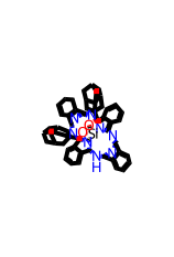 C1=CC2=C(CC1)/C1=N/c3c4ccccc4c4n3[Si](OCC35CC6CC(CC(C6)C3)C5)(OCC35CC6CC(CC(C6)C3)C5)N3/C(=N\C2=N1)c1ccccc1C3NC1=N/C(=N\4)c2ccccc21